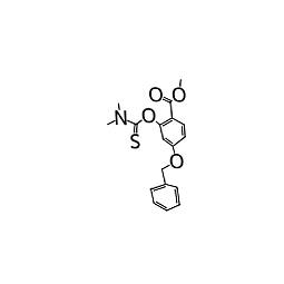 COC(=O)c1ccc(OCc2ccccc2)cc1OC(=S)N(C)C